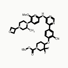 COc1nc(Nc2cc(-c3ccc(OC4CCN(C(=O)OC(C)(C)C)CC4(F)F)c(C#N)c3)ncn2)ccc1N1CCN(C2COC2)C[C@@H]1C